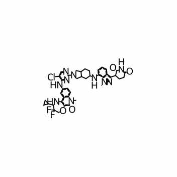 Cn1nc(C2CCC(=O)NC2=O)c2cccc(NC3CCC4CN(c5ncc(Cl)c(Nc6ccc7c(c6)c6c(c(=O)n7C)OCC(F)(F)C(C7CC7)N6)n5)CC4C3)c21